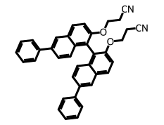 N#CCCOc1ccc2cc(-c3ccccc3)ccc2c1-c1c(OCCC#N)ccc2cc(-c3ccccc3)ccc12